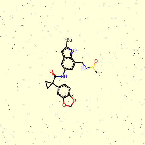 C[S+]([O-])NCc1cc(NC(=O)C2(c3ccc4c(c3)OCO4)CC2)cc2cc(C(C)(C)C)[nH]c12